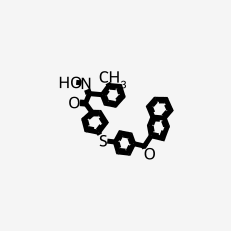 Cc1ccccc1/C(=N/O)C(=O)c1ccc(Sc2ccc(C(=O)c3ccc4ccccc4c3)cc2)cc1